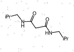 CC(C)CNC(=O)CC(=O)NCC(C)C